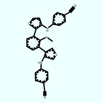 CSc1c(-c2cscc2Nc2ccc(C#N)cc2)cccc1-c1sccc1Nc1ccc(C#N)cc1